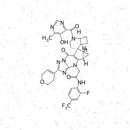 Cc1ncnc(C(=O)N2CC[C@]3(c4c(n(CC(=O)Nc5ccc(C(F)(F)F)cc5F)c5nc(C6=CCOCC6)nn5c4=O)[C@H]4C[C@H]43)[C@@H]3CC[C@@H]32)c1O